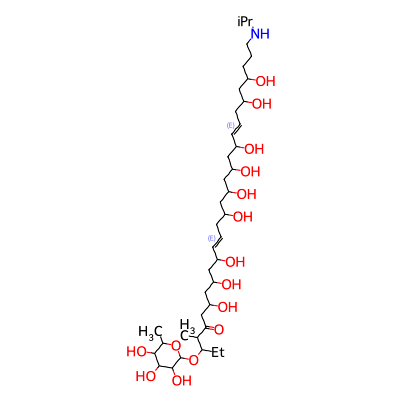 CCC(OC1OC(C)C(O)C(O)C1O)C(C)C(=O)CC(O)CC(O)CC(O)/C=C/CC(O)CC(O)CC(O)CC(O)/C=C/CC(O)CC(O)CCCNC(C)C